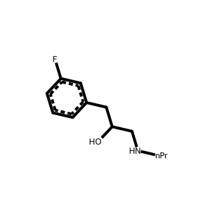 CCCNCC(O)Cc1cccc(F)c1